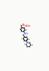 OB1OCc2ccc(NCc3ccc(N4CCCCC4)cc3)cc21